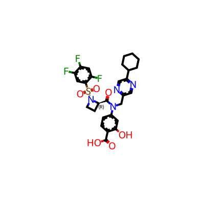 O=C(O)c1ccc(N(Cc2cnc(C3CCCCC3)cn2)C(=O)[C@H]2CCN2S(=O)(=O)c2cc(F)c(F)cc2F)cc1O